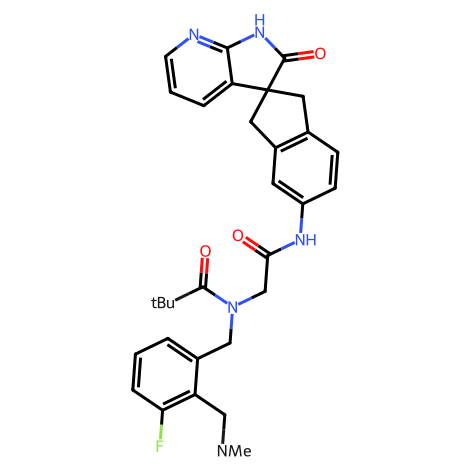 CNCc1c(F)cccc1CN(CC(=O)Nc1ccc2c(c1)CC1(C2)C(=O)Nc2ncccc21)C(=O)C(C)(C)C